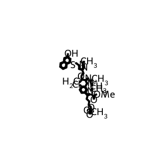 C=CC(OCc1cc(CSc2cc(O)cc3ccccc23)n(C)n1)C1=NC(C)[N+](C)=C1c1c(Cl)ccc2c(CCCOS(C)(=O)=O)c(C(=O)OC)n(C)c12